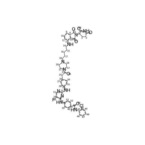 O=C1CCC(N2C(=O)c3cccc(NCCCCCN4CCN(C(=O)Cc5ccc(Nc6ncc(F)c(Nc7ccc(C(=O)Nc8ccccc8Cl)cc7)n6)cc5)CC4)c3C2=O)C(=O)N1